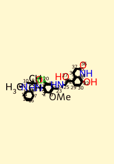 COc1cc(NC(=O)C(C)(C)CN(C)C2CC#CCC2)c(Cl)cc1CNC[C@H](O)c1ccc(O)c2[nH]c(=O)ccc12